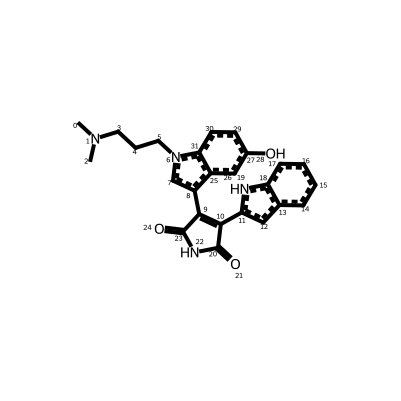 CN(C)CCCn1cc(C2=C(c3cc4ccccc4[nH]3)C(=O)NC2=O)c2cc(O)ccc21